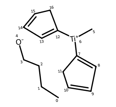 CCCC[O-].[CH3][Ti+]([C]1=CC=CC1)[C]1=CC=CC1